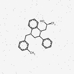 Cc1cccc(CN2CC(c3ccccc3)N(C[C@@H](O)C(F)(F)F)c3ccccc32)c1